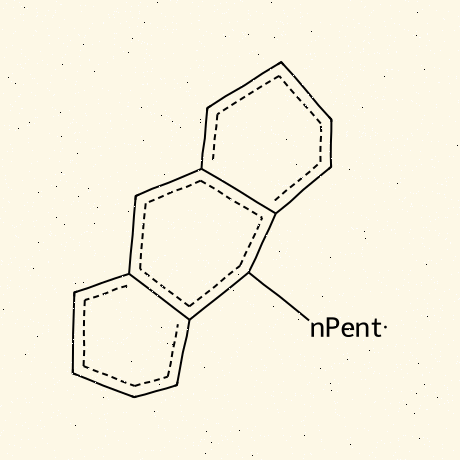 [CH2]CCC[CH]c1c2ccccc2cc2ccccc12